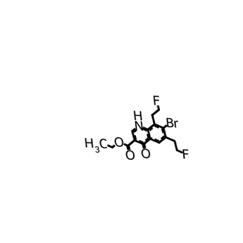 CCOC(=O)c1c[nH]c2c(CCF)c(Br)c(CCF)cc2c1=O